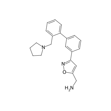 NCc1cc(-c2cccc(-c3ccccc3CN3CCCC3)c2)no1